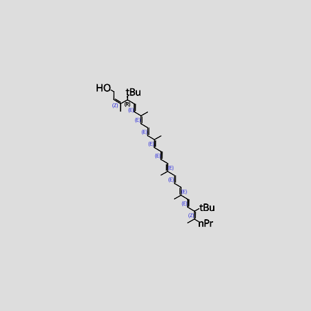 CCC/C(C)=C(/C=C/C(C)=C/C=C/C(C)=C/C=C/C=C(C)/C=C/C=C(C)/C=C/[C@@H](/C(C)=C\CO)C(C)(C)C)C(C)(C)C